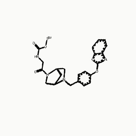 CC(C)(C)OC(=O)NCC(=O)N1CC2CC1CN2Cc1ccc(Oc2nc3ccccc3s2)cc1